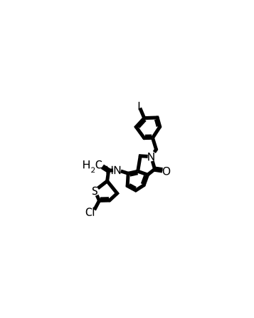 C=C(Nc1cccc2c1CN(Cc1ccc(I)cc1)C2=O)C1CC=C(Cl)S1